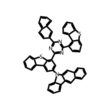 c1ccc2cc(-c3nc(-c4cc(-n5c6ccccc6c6cc7ccccc7cc65)cc5c4sc4ccccc45)nc(-c4cccc5sc6ccccc6c45)n3)ccc2c1